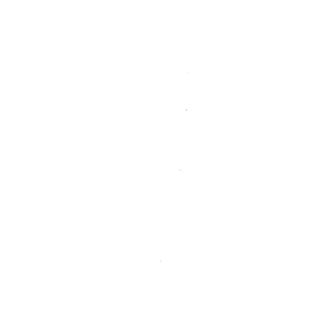 Cc1cccc2c1oc1c(N(c3ccc4c(c3)C(C)(C)c3c-4ccc4c3C(C)(C)c3ccc5ccccc5c3-4)c3ccc4c(c3)C(C)(C)c3c-4ccc4c3C(C)(C)c3ccc5ccccc5c3-4)cccc12